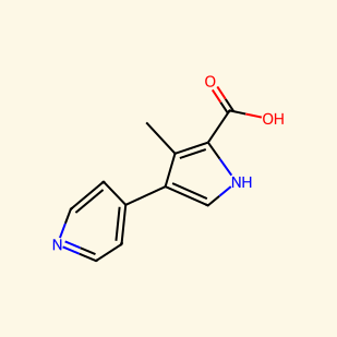 Cc1c(-c2ccncc2)c[nH]c1C(=O)O